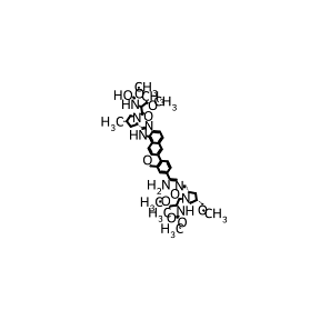 COC[C@H]1C[C@@H](/C=N/C=C(\N)c2ccc3c(c2)COc2cc4c(ccc5nc([C@@H]6C[C@H](C)CN6C(=O)C(NC(O)OC)[C@@H](C)OC)[nH]c54)cc2-3)N(C(=O)[C@@H](NC(=O)OC)[C@@H](C)OC)C1